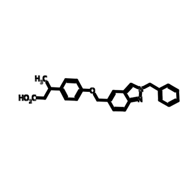 CC(CC(=O)O)c1ccc(OCc2ccc3nn(Cc4ccccc4)cc3c2)cc1